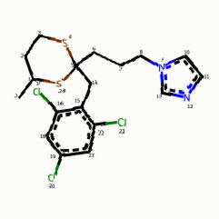 CC1CCSC(CCCn2ccnc2)(Cc2c(Cl)cc(Cl)cc2Cl)S1